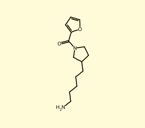 NCCCCCC1CCN(C(=O)c2ccco2)C1